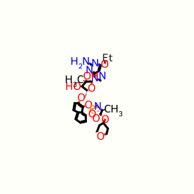 CCOc1nc(N)nc2c1ncn2C1O[C@H](COc2ccc3ccccc3c2O/[P+]([O-])=N/[C@@H](C)C(=O)OC2CCOCC2)[C@@H](O)[C@@]1(C)O